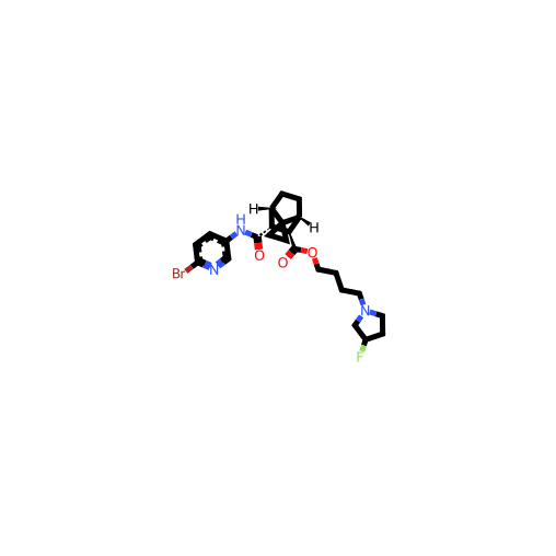 O=C(OCCCCN1CCC(F)C1)[C@H]1[C@H](C(=O)Nc2ccc(Br)nc2)[C@@H]2CC[C@H]1C21CC1